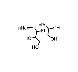 CCCC(O)CO.CCCCCCOC(CC)C(O)CO